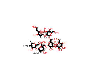 CC(=O)N/C(=C(\O)[C@H](O)CCO)[C@@H](O)OC1C(O)[C@H](O)C(CO)O[C@@H]1OCC1O[C@@H](OCC2(CO)CC(O)C(NC(C)=O)[C@H](O[C@@H]3C(CO)O[C@@H](C)C(NC(C)=O)C3O)O2)C(O)C(O[C@H]2OC(CO)[C@@H](O)C(O)C2O)[C@@H]1O